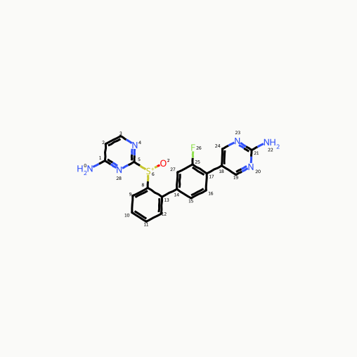 Nc1ccnc([S+]([O-])c2ccccc2-c2ccc(-c3cnc(N)nc3)c(F)c2)n1